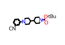 [C-]#[N+]c1cccc(N2CCC(C3CCN(C(=O)OC(C)(C)C)CC3)CC2)c1